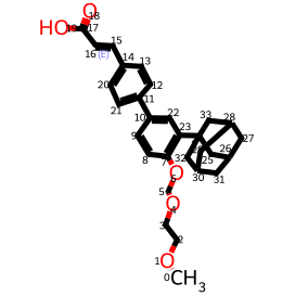 COCCOCOc1ccc(-c2ccc(/C=C/C(=O)O)cc2)cc1C12CC3CC(CC(C3)C1)C2